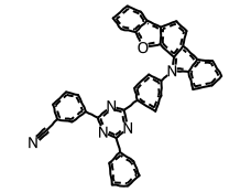 N#Cc1cccc(-c2nc(-c3ccccc3)nc(-c3ccc(-n4c5ccccc5c5ccc6c7ccccc7oc6c54)cc3)n2)c1